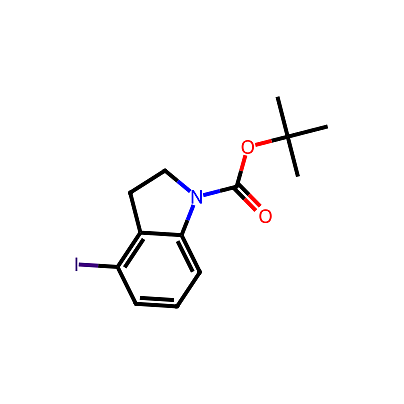 CC(C)(C)OC(=O)N1CCc2c(I)cccc21